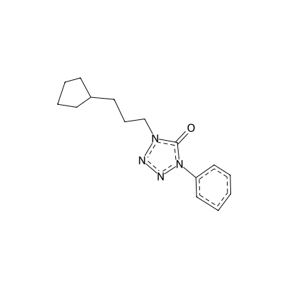 O=c1n(CCCC2CCCC2)nnn1-c1ccccc1